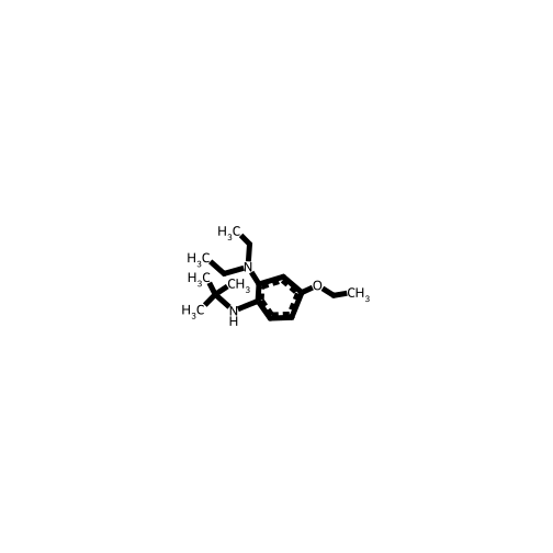 CCOc1ccc(NC(C)(C)C)c(N(CC)CC)c1